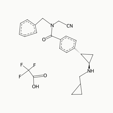 N#CCN(Cc1ccccc1)C(=O)c1ccc([C@@H]2C[C@H]2NCC2CC2)cc1.O=C(O)C(F)(F)F